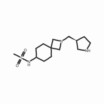 CS(=O)(=O)NC1CCC2(CC1)CN(C[C@H]1CCNC1)C2